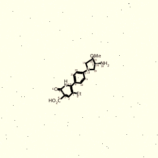 CCc1cc(C(=O)O)c(=O)[nH]c1-c1ccc(N2C[C@H](OC)[C@@H](N)C2)cc1